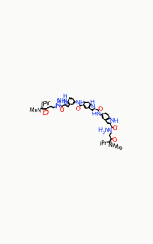 CN[C@H](C(=O)CCN(N)C(=O)c1cc2cc(NC(=O)c3ccc4[nH]c(C(=O)Nc5ccc6[nH]c(C(=O)N(N)CCC(=O)[C@@H](NC)C(C)C)cc6c5)cc4c3)ccc2[nH]1)C(C)C